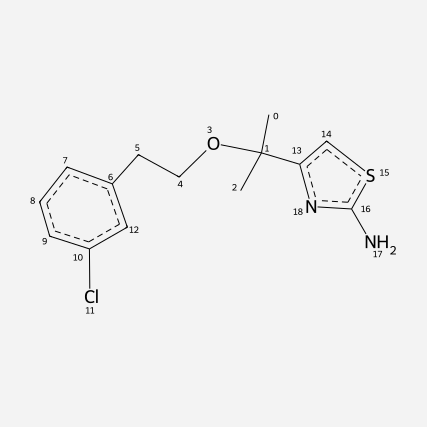 CC(C)(OCCc1cccc(Cl)c1)c1csc(N)n1